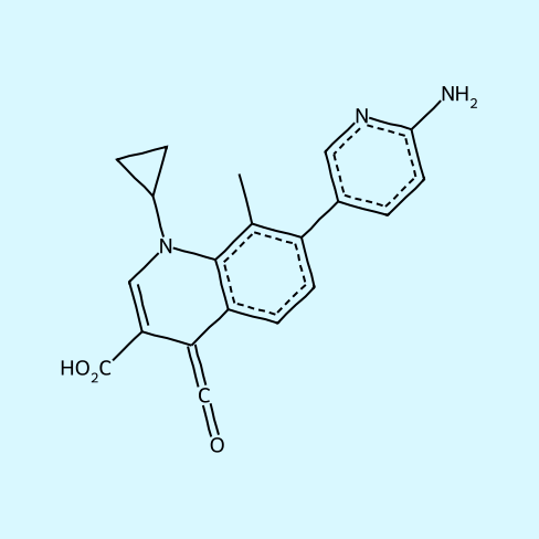 Cc1c(-c2ccc(N)nc2)ccc2c1N(C1CC1)C=C(C(=O)O)C2=C=O